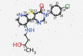 CC(O)CCNc1ccnc2sc3c(=O)n(-c4ccc(Cl)cc4)cnc3c12